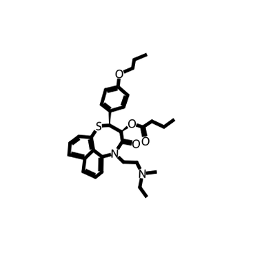 CCCOc1ccc([C@@H]2Sc3cccc4cccc(c34)N(CCN(C)CC)C(=O)[C@@H]2OC(=O)CCC)cc1